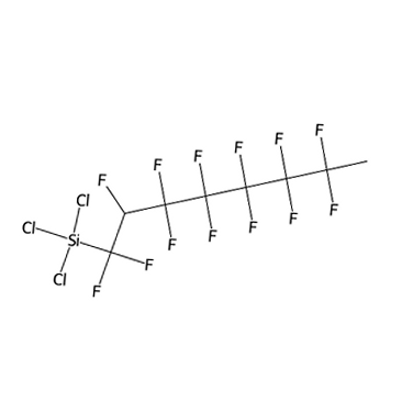 CC(F)(F)C(F)(F)C(F)(F)C(F)(F)C(F)(F)C(F)C(F)(F)[Si](Cl)(Cl)Cl